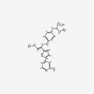 CCO/N=C(\COc1ccc(CC(OCC)C(=O)O)cc1)c1nnc(-c2cccc(Cl)c2)o1